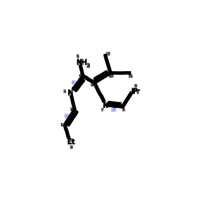 CC/C=C/N=C(/N)C(/N=C\C(C)C)=C(C)C